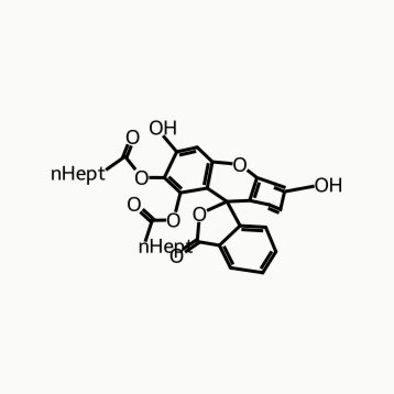 CCCCCCCC(=O)Oc1c(O)cc2c(c1OC(=O)CCCCCCC)C1(OC(=O)c3ccccc31)c1ccc(O)cc1O2